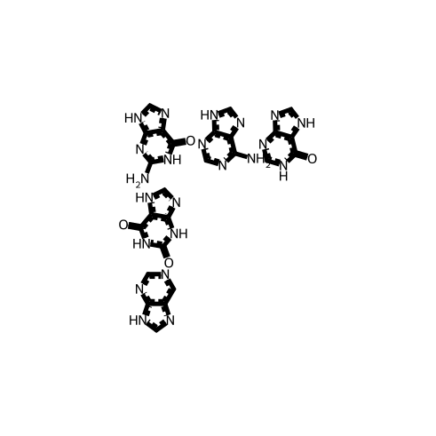 Nc1nc2[nH]cnc2c(=O)[nH]1.Nc1ncnc2[nH]cnc12.O=c1[nH]c(=O)c2[nH]cnc2[nH]1.O=c1[nH]cnc2nc[nH]c12.c1ncc2nc[nH]c2n1